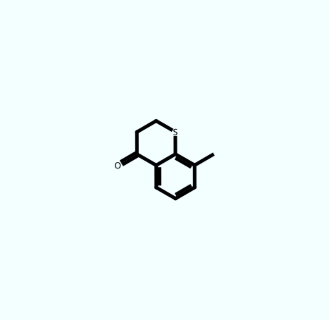 Cc1cccc2c1SCCC2=O